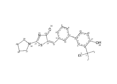 CCC(C)(C)c1cc(-c2cccc(C=C3SC(N4CCCC4)=NC3=O)c2)ccc1O